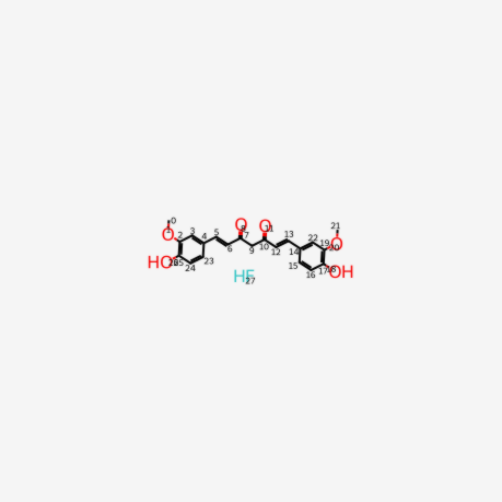 COc1cc(/C=C/C(=O)CC(=O)/C=C/c2ccc(O)c(OC)c2)ccc1O.F